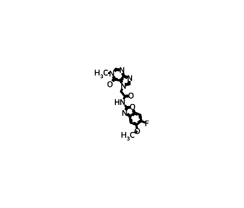 COc1cc2nc(NC(=O)Cn3cnc4ncn(C)c(=O)c43)oc2cc1F